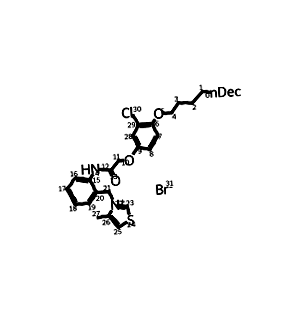 CCCCCCCCCCCCCCOc1ccc(OCC(=O)Nc2ccccc2C[n+]2cscc2C)cc1Cl.[Br-]